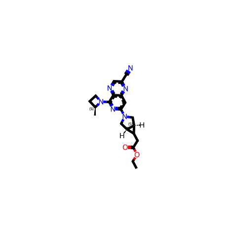 CCOC(=O)CC1[C@H]2CN(c3cc4nc(C#N)cnc4c(N4CC[C@@H]4C)n3)C[C@@H]12